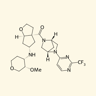 CO[C@@H]1COCC[C@@H]1N[C@@H]1C[C@H]2OCC[C@@]2(C(=O)N2C[C@@H]3C[C@H]2CN3c2ccnc(C(F)(F)F)n2)C1